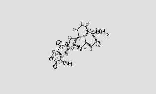 Cc1cc2nc3c(c4c2c(c1N)CCC4)Cn1c-3cc2c(c1=O)COC(=O)C2O